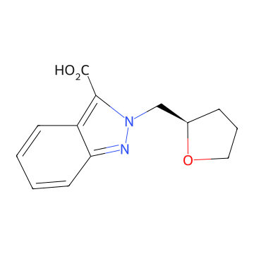 O=C(O)c1c2ccccc2nn1C[C@H]1CCCO1